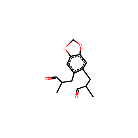 CC(C=O)Cc1cc2c(cc1CC(C)C=O)OCO2